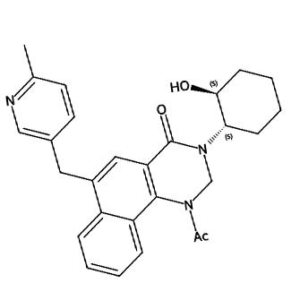 CC(=O)N1CN([C@H]2CCCC[C@@H]2O)C(=O)c2cc(Cc3ccc(C)nc3)c3ccccc3c21